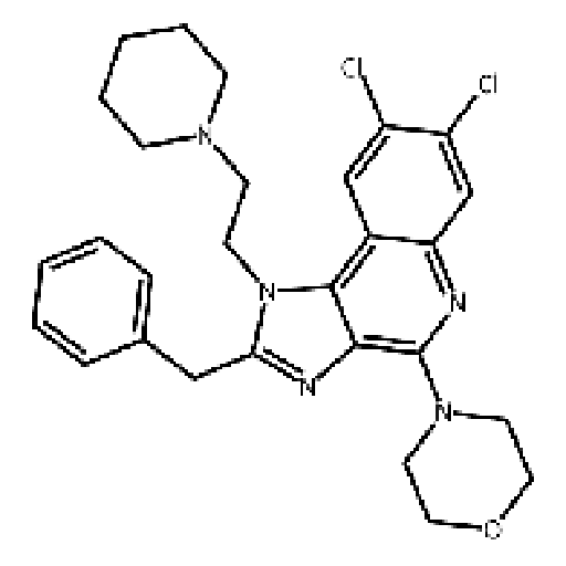 Clc1cc2nc(N3CCOCC3)c3nc(Cc4ccccc4)n(CCN4CCCCC4)c3c2cc1Cl